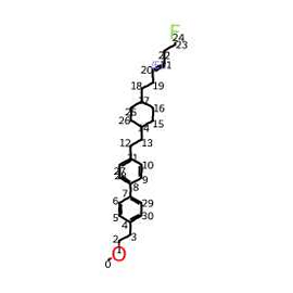 COCCc1ccc(-c2ccc(CCC3CCC(CC/C=C/CCF)CC3)cc2)cc1